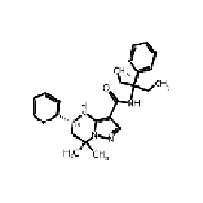 CCC(CC)(NC(=O)c1cnn2c1N[C@@H](C1C=CC=CC1)CC2(C)C)c1ccccc1